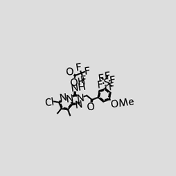 COc1cc(C(=O)Cn2nc3c(C)c(C)c(Cl)nn3c2=N)cc(S(F)(F)(F)(F)F)c1.O=C(O)C(F)(F)F